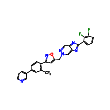 Fc1cccc(-c2nc3cnn(Cc4cc(-c5ccc(-c6cccnc6)cc5C(F)(F)F)no4)cc-3n2)c1F